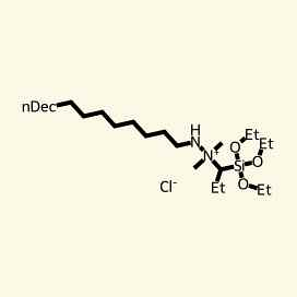 CCCCCCCCCCCCCCCCCCN[N+](C)(C)C(CC)[Si](OCC)(OCC)OCC.[Cl-]